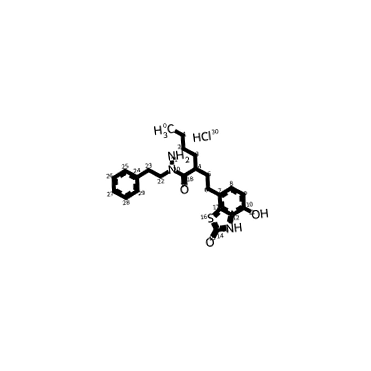 CCCCC(CCc1ccc(O)c2[nH]c(=O)sc12)C(=O)N(N)CCc1ccccc1.Cl